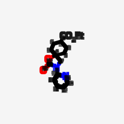 CCOC(=O)[C@H]1CC[C@@]2(CC1)CN(c1ccccn1)C(=O)O2